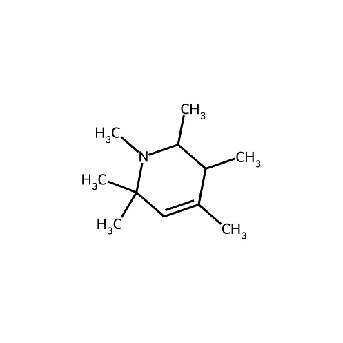 CC1=CC(C)(C)N(C)C(C)C1C